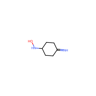 N=C1CCC(NO)CC1